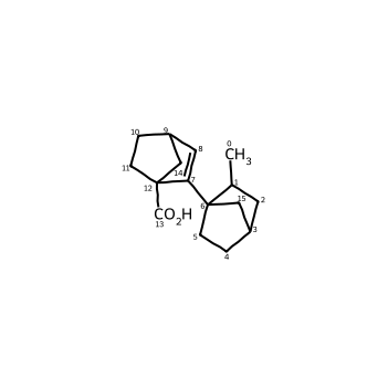 CC1CC2CCC1(C1=CC3CCC1(C(=O)O)C3)C2